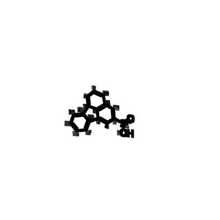 O=S(O)c1cc2c3c(cccc3c1)-c1ccccc1-2